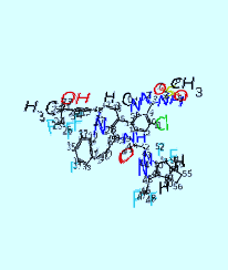 Cn1nc(NS(C)(=O)=O)c2c(Cl)ccc(-c3ccc(C#CC(C)(O)C(F)F)nc3[C@H](Cc3cc(F)cc(F)c3)NC(=O)Cn3nc(C(F)F)c4c3C(F)(F)[C@@H]3CC[C@H]43)c21